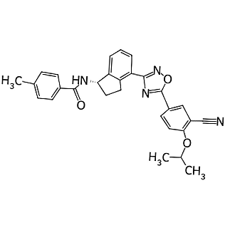 Cc1ccc(C(=O)N[C@H]2CCc3c(-c4noc(-c5ccc(OC(C)C)c(C#N)c5)n4)cccc32)cc1